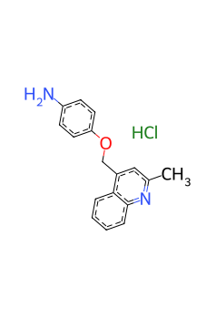 Cc1cc(COc2ccc(N)cc2)c2ccccc2n1.Cl